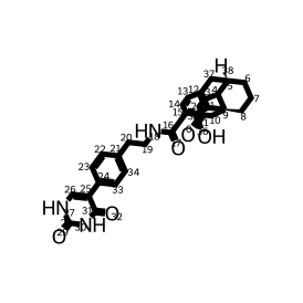 O=C1CCC2[C@@H]3CCC[C@@]2(C1)c1c(ccc(C(=O)NCCc2ccc(-c4c[nH]c(=O)[nH]c4=O)cc2)c1O)C3